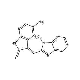 Cn1c(C=C2C(=O)Nc3ncc(N)cc32)nc2ccccc21